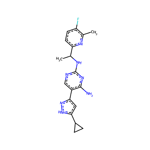 Cc1nc(C(C)Nc2ncc(-c3cc(C4CC4)[nH]n3)c(N)n2)ccc1F